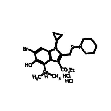 CCOC(=O)c1c(CSN2CCCCC2)n(C2CC2)c2cc(Br)c(O)[c]([SnH]([CH3])[CH3])c12.Cl.Cl